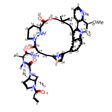 C=CC(=O)N1CC[C@@H]2[C@H]1CN2C(=O)N(C)C(C(=O)N[C@H]1Cc2nc(cs2)-c2ccc3c(c2)c(c(-c2cccnc2[C@H](C)OC)n3CC)CC(C)(C)COC(=O)[C@@H]2CCCN(N2)C1=O)C(C)C